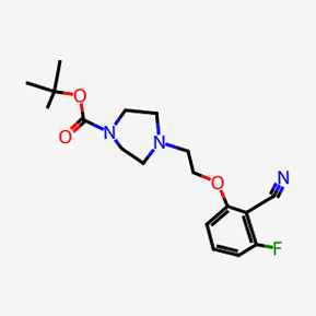 CC(C)(C)OC(=O)N1CCN(CCOc2cccc(F)c2C#N)CC1